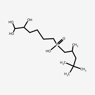 CC(CC(C)(C)C)CP(=O)(O)CCCCC(O)C(O)O